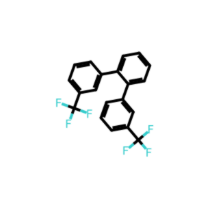 FC(F)(F)c1cccc(-c2ccccc2-c2cccc(C(F)(F)F)c2)c1